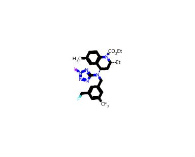 CCOC(=O)N1c2ccc(C)cc2[C@@H](N(Cc2cc(CF)cc(C(F)(F)F)c2)c2nnn(I)n2)C[C@H]1CC